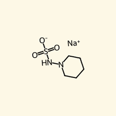 O=S(=O)([O-])NN1CCCCC1.[Na+]